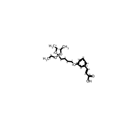 CCO[Si](CCCCOc1cccc(C=CC(=O)O)c1)(OCC)OCC